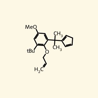 C=CCOc1c(C(C)(C)C)cc(OC)cc1C(C)(C)C1=CCC=C1